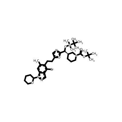 Cc1cc2c(cnn2C2CCCCO2)c(Br)c1CCc1cnc(C(O[Si](C)(C)C(C)(C)C)[C@@H]2CCCN(C(=O)OC(C)(C)C)C2)o1